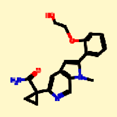 Cn1c(-c2ccccc2OCCO)cc2cc(C3(C(N)=O)CC3)ncc21